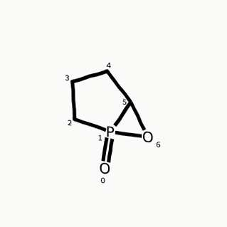 O=P12CCCC1O2